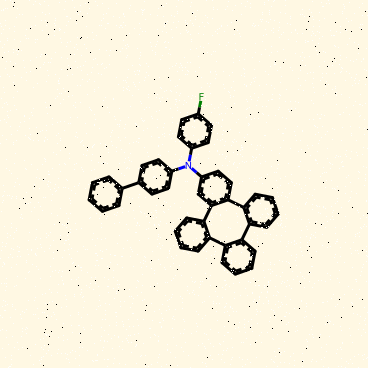 Fc1ccc(N(c2ccc(-c3ccccc3)cc2)c2ccc3c(c2)-c2ccccc2-c2ccccc2-c2ccccc2-3)cc1